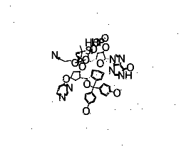 COc1ccc(C(OC[C@H]2C[C@@H](Oc3ccncn3)C[C@@H]2OP(=S)(OCCC#N)OC[C@H]2O[C@@H](n3cnc4c(=O)[nH]cnc43)[C@H](O[PH](=O)O)[C@@H]2O[Si](C)(C)C(C)(C)C)(c2ccccc2)c2ccc(OC)cc2)cc1